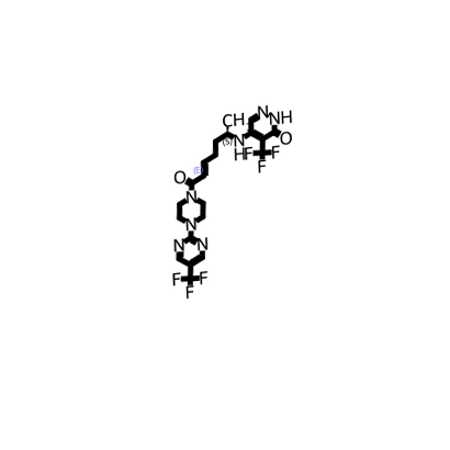 C[C@@H](CC/C=C/C(=O)N1CCN(c2ncc(C(F)(F)F)cn2)CC1)Nc1cn[nH]c(=O)c1C(F)(F)F